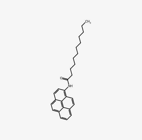 CCCCCCCCCCCC(=O)Nc1ccc2ccc3cccc4ccc1c2c34